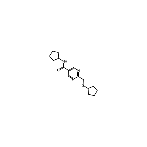 O=C(NC1CCCC1)c1cnc(CSC2CCCC2)nc1